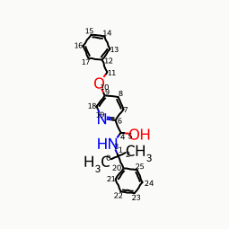 CC(C)(NC(O)c1ccc(OCc2ccccc2)cn1)c1ccccc1